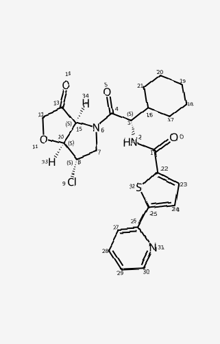 O=C(N[C@H](C(=O)N1C[C@H](Cl)[C@H]2OCC(=O)[C@H]21)C1CCCCC1)c1ccc(-c2ccccn2)s1